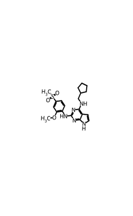 COc1cc(S(C)(=O)=O)ccc1Nc1nc(NCC2CCCC2)c2cc[nH]c2n1